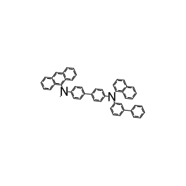 CN(c1ccc(-c2ccc(N(c3cccc(-c4ccccc4)c3)c3cccc4ccccc34)cc2)cc1)c1c2ccccc2cc2ccccc12